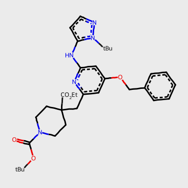 CCOC(=O)C1(Cc2cc(OCc3ccccc3)cc(Nc3ccnn3C(C)(C)C)n2)CCN(C(=O)OC(C)(C)C)CC1